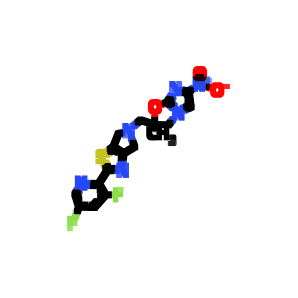 C[C@]1(CN2Cc3nc(-c4ncc(F)cc4F)sc3C2)Cn2cc([N+](=O)[O-])nc2O1